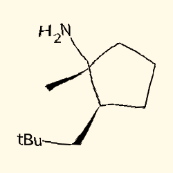 CC(C)(C)C[C@@H]1CCC[C@@]1(C)N